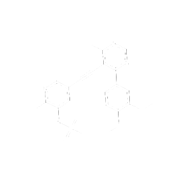 CCOc1ccc(-c2ncnc(CC)c2C#Cc2cnc(C)c(NS(C)(=O)=O)c2)cc1OCC